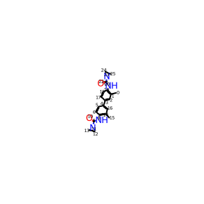 Cc1cc(-c2ccc(NC(=O)N3CC3)c(C)c2)ccc1NC(=O)N1CC1